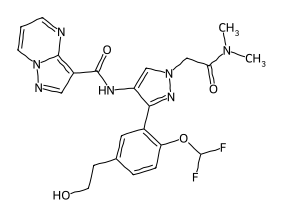 CN(C)C(=O)Cn1cc(NC(=O)c2cnn3cccnc23)c(-c2cc(CCO)ccc2OC(F)F)n1